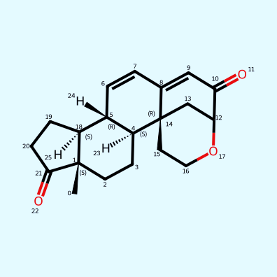 C[C@]12CC[C@H]3[C@@H](C=CC4=CC(=O)C5C[C@@]43CCO5)[C@@H]1CCC2=O